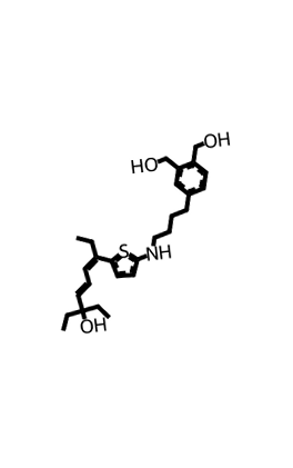 CC/C(=C/C=C/C(O)(CC)CC)c1ccc(NCCCCc2ccc(CO)c(CO)c2)s1